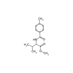 COC(=O)C(NC(=O)c1ccc(C)cc1)C(C)C